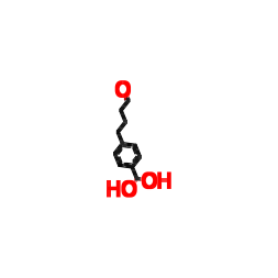 O=CCCCc1ccc(C(O)O)cc1